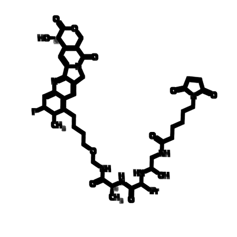 CC(C)C(NC(O)CNC(=O)CCCCCN1C(=O)C=CC1=O)C(=O)N[C@@H](C)C(=O)NCOCCCCC1=c2cc3c(nc2=CC(F)C1C)-c1cc2c(c(=O)n1C3)COC(=O)[C@H]2O